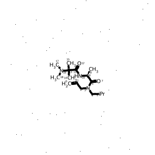 C=CCN(CC(C)C)C(=O)[C@H](C)NC(=O)C(C)(C)N(C)C